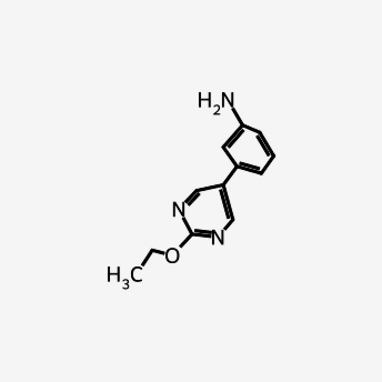 CCOc1ncc(-c2cccc(N)c2)cn1